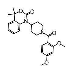 COc1ccc(C(=O)N2CCC(N3C(=O)OC(C)(C)c4ccccc43)CC2)c(OC)c1